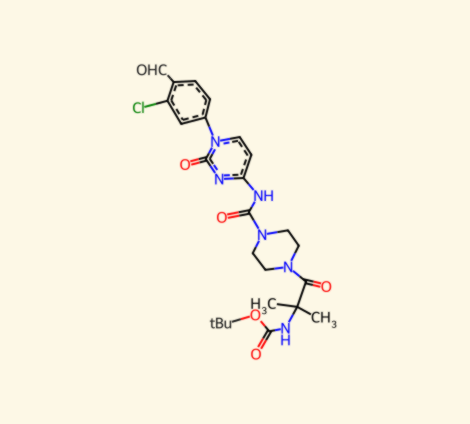 CC(C)(C)OC(=O)NC(C)(C)C(=O)N1CCN(C(=O)Nc2ccn(-c3ccc(C=O)c(Cl)c3)c(=O)n2)CC1